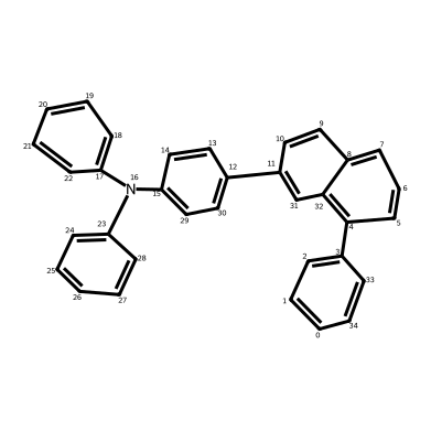 c1ccc(-c2cccc3ccc(-c4ccc(N(c5ccccc5)c5ccccc5)cc4)cc23)cc1